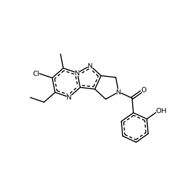 CCc1nc2c3c(nn2c(C)c1Cl)CN(C(=O)c1ccccc1O)C3